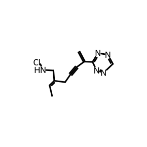 C=C(C#CC/C(=C\C)CNCl)c1nncnn1